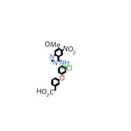 COc1cc2ncnc(Nc3ccc(Oc4cccc(CC(=O)O)c4)cc3F)c2cc1[N+](=O)[O-].Cl